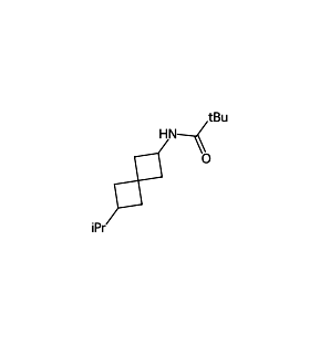 CC(C)C1CC2(CC(NC(=O)C(C)(C)C)C2)C1